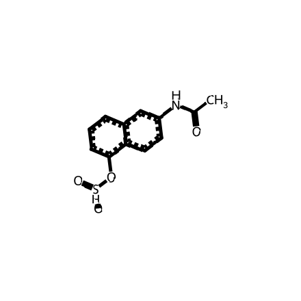 CC(=O)Nc1ccc2c(O[SH](=O)=O)cccc2c1